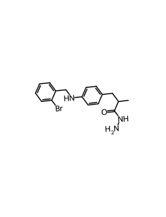 CC(Cc1ccc(NCc2ccccc2Br)cc1)C(=O)NN